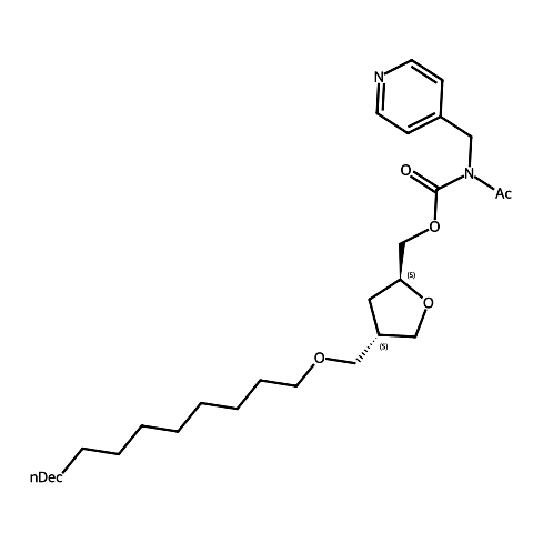 CCCCCCCCCCCCCCCCCCOC[C@H]1CO[C@H](COC(=O)N(Cc2ccncc2)C(C)=O)C1